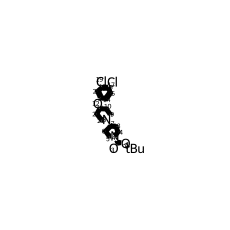 CC(C)(C)OC(=O)N1CCC(N2CCC(Oc3ccc(Cl)c(Cl)c3)CC2)CC1